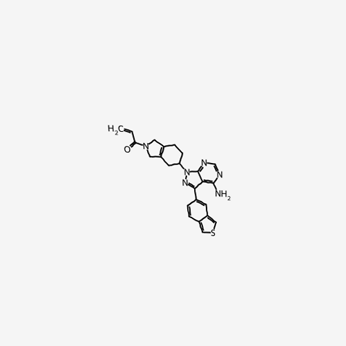 C=CC(=O)N1CC2=C(CC(n3nc(-c4ccc5cscc5c4)c4c(N)ncnc43)CC2)C1